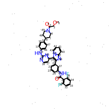 COCC(=O)N1CCC(c2ccc(Nc3nccc(-c4c(-c5cccc(NC(=O)c6c(F)cccc6F)c5)nc5ccccn45)n3)cc2)CC1